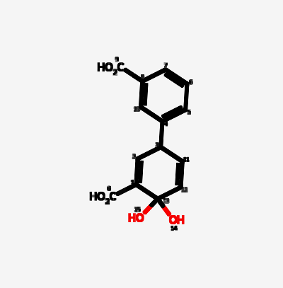 O=C(O)C1=CC(c2cccc(C(=O)O)c2)C=CC1(O)O